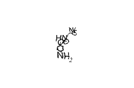 Cc1nc(CCNC(=O)Oc2ccc(N)cc2)cs1